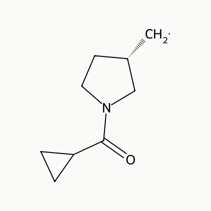 [CH2][C@H]1CCN(C(=O)C2CC2)C1